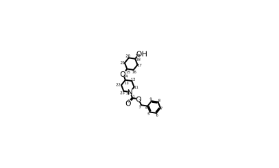 O=C(OCc1ccccc1)N1CCC(OC2CCC(O)CC2)CC1